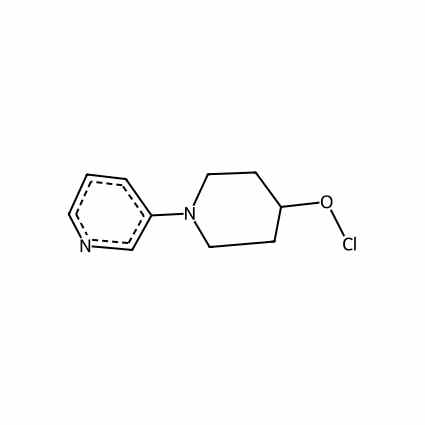 ClOC1CCN(c2cccnc2)CC1